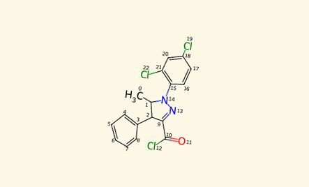 CC1C(c2ccccc2)C(C(=O)Cl)=NN1c1ccc(Cl)cc1Cl